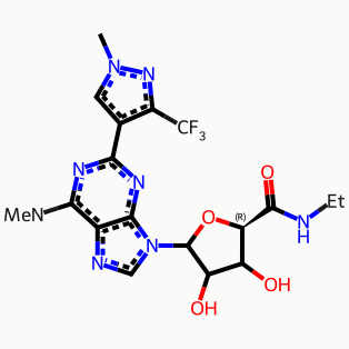 CCNC(=O)[C@@H]1OC(n2cnc3c(NC)nc(-c4cn(C)nc4C(F)(F)F)nc32)C(O)C1O